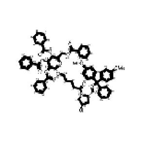 COc1ccc(C(OC[C@@H]2C[C@@H](O)CN2C(=O)CCCCO[C@H]2OC(COC(=O)c3ccccc3)[C@@H](OC(=O)c3ccccc3)[C@H](OC(=O)c3ccccc3)C2OC(=O)c2ccccc2)(c2ccccc2)c2ccc(OC)cc2)cc1